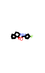 O=C(NC1CCc2ccccc2C1=O)c1ccc(F)cc1